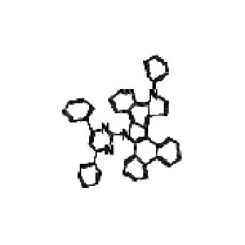 c1ccc(-c2cc(-c3ccccc3)nc(-n3c4c5ccccc5c5ccccc5c4c4c5ccn(-c6ccccc6)c5c5ccccc5c43)n2)cc1